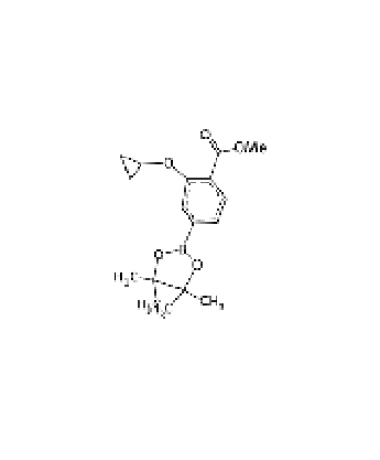 COC(=O)c1ccc(B2OC(C)(C)C(C)(C)O2)cc1OC1CC1